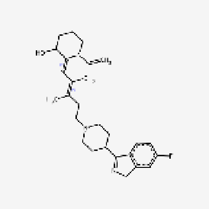 C=CN1CCCC(O)/C1=N/C(C)=C(\C)CCN1CCC(C2=NCc3cc(F)ccc32)CC1